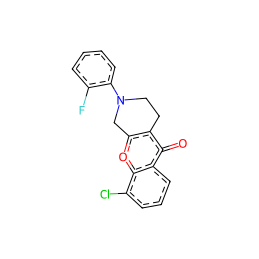 O=c1c2c(oc3c(Cl)cccc13)CN(c1ccccc1F)CC2